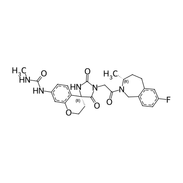 CNC(=O)Nc1ccc2c(c1)OCC[C@@]21NC(=O)N(CC(=O)N2Cc3ccc(F)cc3CC[C@H]2C)C1=O